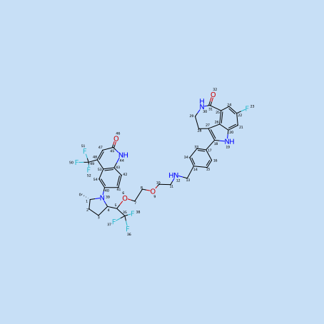 C[C@H]1CCC(C(OCCOCCNCc2ccc(-c3[nH]c4cc(F)cc5c4c3CCNC5=O)cc2)C(F)(F)F)N1c1ccc2[nH]c(=O)cc(C(F)(F)F)c2c1